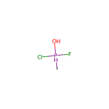 C[PH](O)(F)Cl